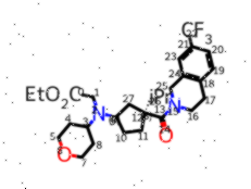 CCOC(=O)CN(C1CCOCC1)[C@@H]1CC[C@@](C(=O)N2CCc3ccc(C(F)(F)F)cc3C2)(C(C)C)C1